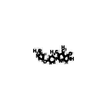 Cc1c(N2CCC(Oc3cnn(C)c3)CC2)nc2c(c1C)C(=O)NC2